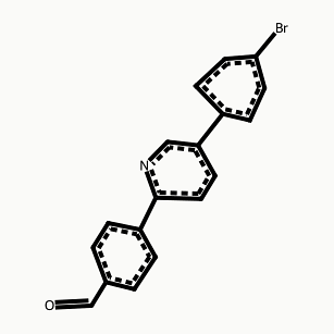 O=Cc1ccc(-c2ccc(-c3ccc(Br)cc3)cn2)cc1